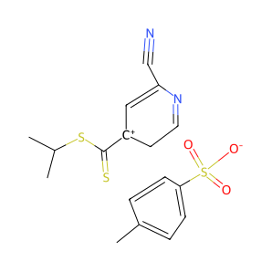 CC(C)SC(=S)[C+]1C=C(C#N)N=CC1.Cc1ccc(S(=O)(=O)[O-])cc1